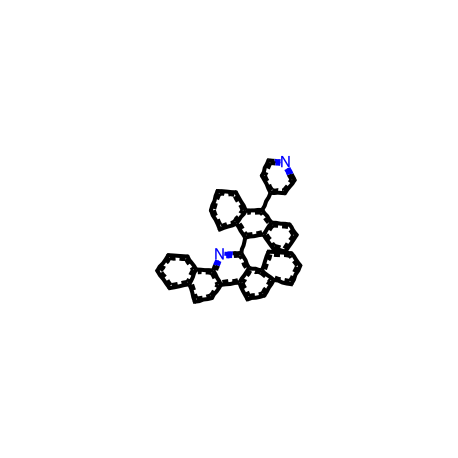 c1ccc2c(c1)ccc1c3ccc4ccccc4c3c(-c3c4ccccc4c(-c4ccncc4)c4ccccc34)nc21